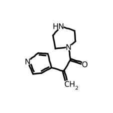 C=C(C(=O)N1CCNCC1)c1ccncc1